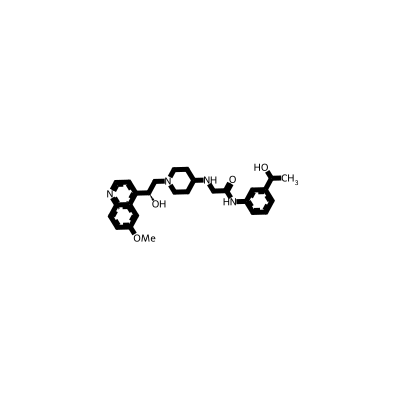 COc1ccc2nccc([C@@H](O)CN3CCC(NCC(=O)Nc4cccc(C(C)O)c4)CC3)c2c1